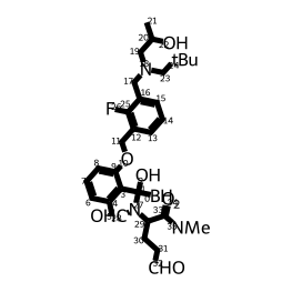 BC(O)(c1c(C)cccc1OCc1cccc(CN(CC(C)O)CC(C)(C)C)c1F)N(C=O)C(CCC=O)C(=O)NC